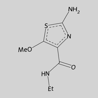 CCNC(=O)c1nc(N)sc1OC